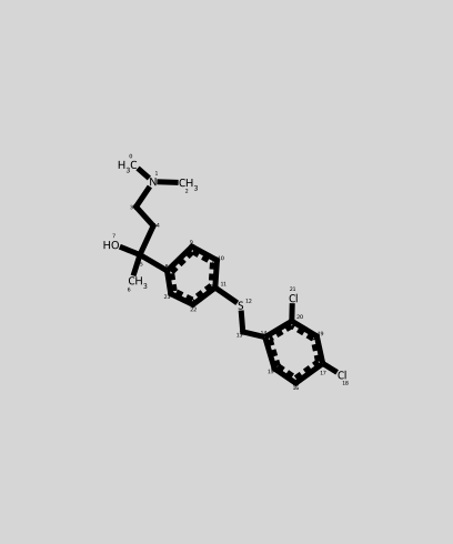 CN(C)CCC(C)(O)c1ccc(SCc2ccc(Cl)cc2Cl)cc1